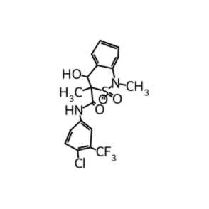 CN1c2ccccc2C(O)C(C)(C(=O)Nc2ccc(Cl)c(C(F)(F)F)c2)S1(=O)=O